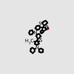 Cc1cc(N(c2ccccc2)c2ccccc2)cc2sc3ccc(N(c4ccccc4)c4ccc5c(c4)C4(c6ccccc6S5)c5ccccc5-c5ccccc54)cc3c12